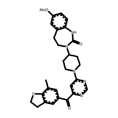 COc1ccc2c(c1)CCN(C1CCN(c3cc(C(=O)c4cc(C)c5c(c4)CCO5)ncn3)CC1)C(=O)N2